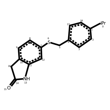 CC(C)c1ccc(CSc2ccc3c(c2)NC(=O)C3)cc1